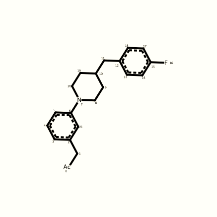 CC(=O)Cc1cccc(N2CCC(Cc3ccc(F)cc3)CC2)c1